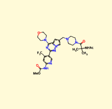 COC(=O)Nc1cc(C(F)(F)F)c(-c2nc(N3CCOCC3)c3cc(CN4CCN(C(=O)C(C)(C)NC(C)=O)CC4)cn3n2)cn1